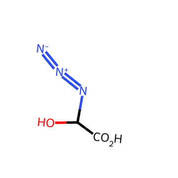 [N-]=[N+]=NC(O)C(=O)O